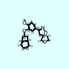 COc1ccc(C2=NO[C@@]3(CCOC3)C2)cc1OC1Cc2ccccc2C1